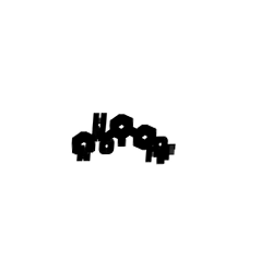 Cc1c(C(=O)Nc2cccnc2)cccc1-c1ccc(OC(C)(F)F)cc1